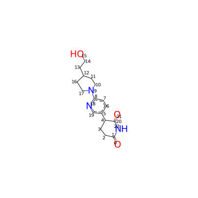 O=C1CCC(c2ccc(N3CCC(CCO)CC3)nc2)C(=O)N1